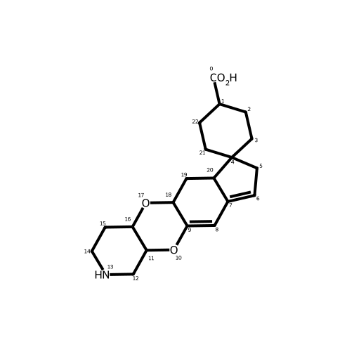 O=C(O)C1CCC2(CC=C3C=C4OC5CNCCC5OC4CC32)CC1